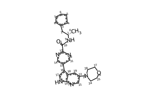 C[C@@H](Cc1ccccc1)NC(=O)c1ncc(-c2c[nH]c3ncc(N4CCOCC4)cc23)cn1